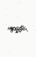 C/C=C\c1c(NC)cccc1C(=O)N(C1CC1)C1CCc2[nH][nH]c(=O)c2C1